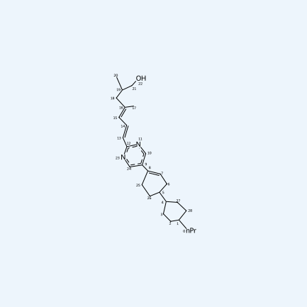 CCCC1CCC(C2CC=C(c3cnc(/C=C/C=C(\C)CC(C)CO)nc3)CC2)CC1